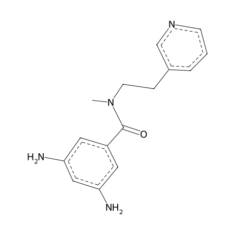 CN(CCc1cccnc1)C(=O)c1cc(N)cc(N)c1